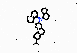 CC(C)c1ccc2c(ccc3cc(N(c4cccc5ccccc45)c4cccc5ccccc45)ccc32)c1